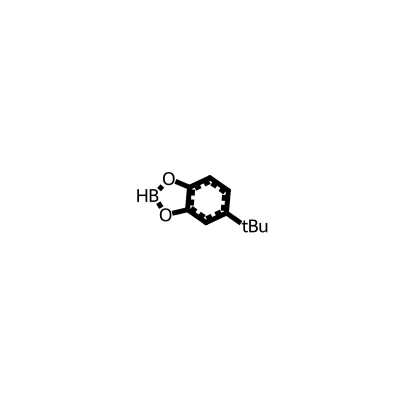 CC(C)(C)c1ccc2c(c1)OBO2